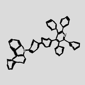 c1ccc(-c2nc(-c3ccccc3)c(-c3ccccc3)c(-c3ccc(-c4ccc(-n5c6ccccc6c6c7ccccc7ccc65)cc4)cc3)c2-c2ccccc2)cc1